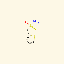 NS(=O)(=S)Cc1cccs1